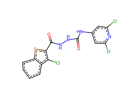 O=C(NNC(=O)c1sc2ccccc2c1Cl)Nc1cc(Cl)nc(Cl)c1